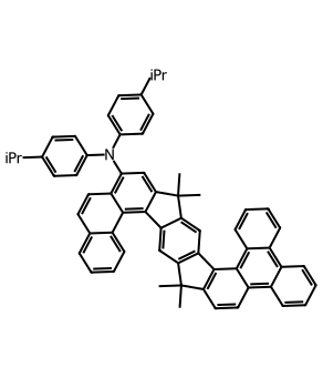 CC(C)c1ccc(N(c2ccc(C(C)C)cc2)c2cc3c(c4c2ccc2ccccc24)-c2cc4c(cc2C3(C)C)-c2c(ccc3c5ccccc5c5ccccc5c23)C4(C)C)cc1